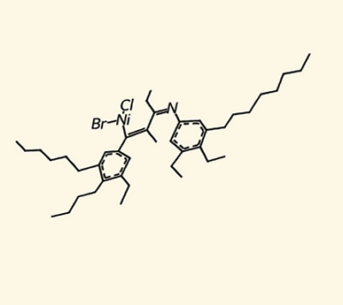 CCCCCCCCc1cc(N=C(CC)C(C)=[C](c2cc(CC)c(CCCC)c(CCCCCC)c2)[Ni]([Cl])[Br])cc(CC)c1CC